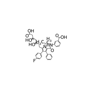 CC(C)n1c(CC[C@@H](O)C[C@@H](O)CC(=O)O)c(-c2ccc(F)cc2)c(-c2ccccc2)c1C(=O)Nc1cccc(C(=O)O)c1